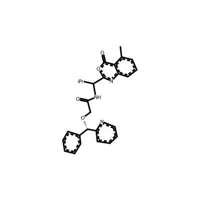 Cc1cccc2nc(C(NC(=O)CO[C@@H](c3ccccc3)c3ccccn3)C(C)C)oc(=O)c12